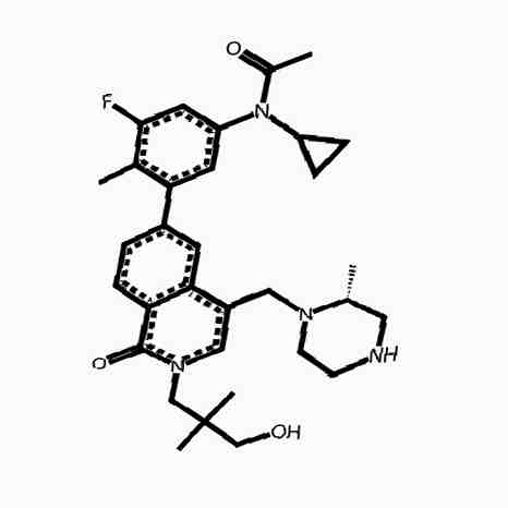 CC(=O)N(c1cc(F)c(C)c(-c2ccc3c(=O)n(CC(C)(C)CO)cc(CN4CCNC[C@H]4C)c3c2)c1)C1CC1